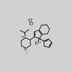 CC(C)[C@@H]1CC[C@@H](C)CC1C1=CC2=C(CCCC2)[C@]1([Ti+2])C1=CC=CC1.[Cl-].[Cl-]